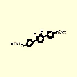 CCCCCCCCOc1ccc(-c2ccc(-c3ccc(CCCCCCCC)cc3)c(F)c2F)cc1